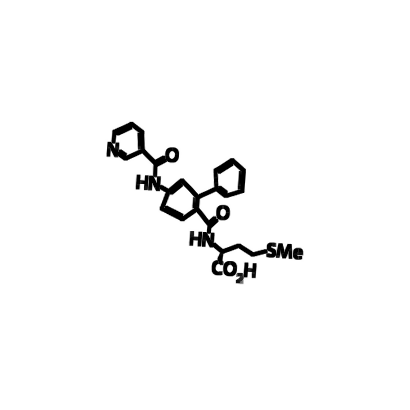 CSCC[C@H](NC(=O)c1ccc(NC(=O)c2cccnc2)cc1-c1ccccc1)C(=O)O